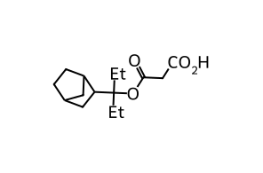 CCC(CC)(OC(=O)CC(=O)O)C1CC2CCC1C2